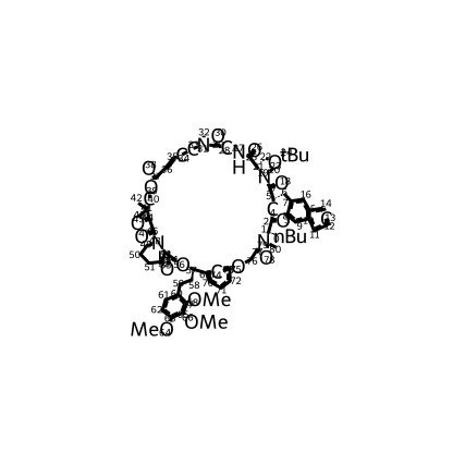 CCCC[C@H]1C(=O)C[C@@H](Cc2ccc3ccccc3c2)C(=O)N(C)[C@@H](COC(C)(C)C)C(=O)NCC(=O)N(C)CC/C=C/C(=O)OCC(C)(C)C(=O)C(=O)N2CCCC[C@H]2C(=O)O[C@H](CCc2ccc(OC)c(OC)c2OC)c2cccc(c2)OCC(=O)N1C